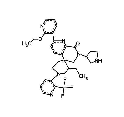 CCOc1ncccc1-c1ccc2c(n1)C(=O)N(C1CCNC1)CC21CCN(c2cccnc2C(F)(F)F)CC1CC